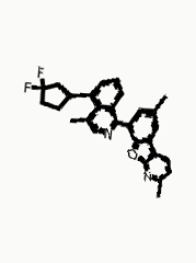 Cc1cc(-c2ncc(C)c3c(C4CCC(F)(F)C4)cccc23)c2oc3nc(C)ccc3c2c1